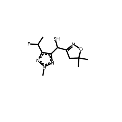 CC(F)c1nn(C)nc1C(S)C1=NOC(C)(C)C1